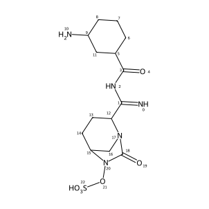 N=C(NC(=O)C1CCCC(N)C1)C1CCC2CN1C(=O)N2OS(=O)(=O)O